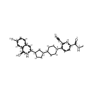 CNC(=O)c1ccc(N2CCC(N3CCC(c4cc5ccc(F)cc5c(=O)[nH]4)C3)CC2)c(C#N)n1